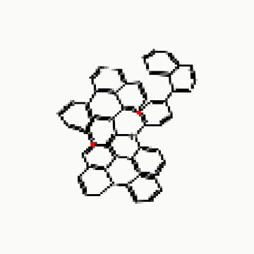 C1=Cc2cccc(-c3ccccc3N(c3ccc(-c4cccc5ccccc45)cc3)c3ccccc3-c3cccc4cccc(-c5ccccc5)c34)c2C(c2ccccc2)C1